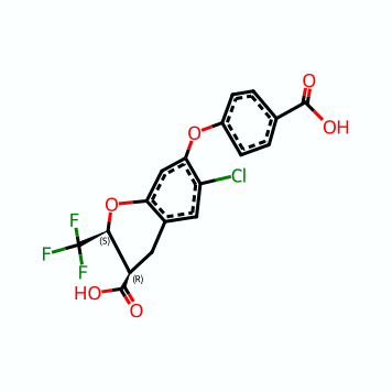 O=C(O)c1ccc(Oc2cc3c(cc2Cl)C[C@@H](C(=O)O)[C@@H](C(F)(F)F)O3)cc1